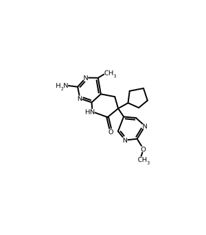 COc1ncc(C2(C3CCCC3)Cc3c(C)nc(N)nc3NC2=O)cn1